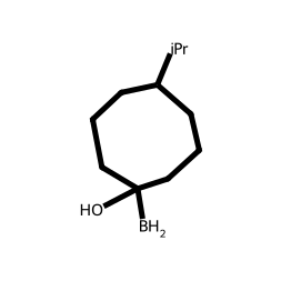 BC1(O)CCCC(C(C)C)CCC1